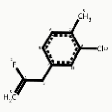 C=C(F)Cc1ccc(C)c(Cl)c1